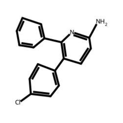 Nc1ccc(-c2ccc(Cl)cc2)c(-c2ccccc2)n1